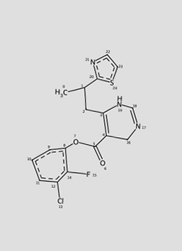 CC(CC1=C(C(=O)Oc2cccc(Cl)c2F)CN=CN1)c1nccs1